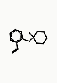 C=Cc1ccccc1OC1(C)CCCCC1